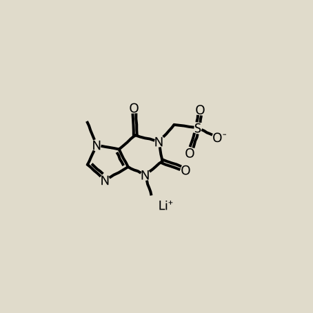 Cn1cnc2c1c(=O)n(CS(=O)(=O)[O-])c(=O)n2C.[Li+]